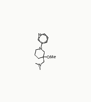 COC1(CN(C)C)CCCN(c2cccnc2)C1